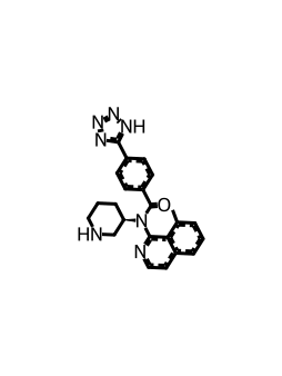 Cc1cccc2ccnc(N(C(=O)c3ccc(-c4nnn[nH]4)cc3)[C@@H]3CCCNC3)c12